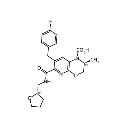 C[C@H]1COc2nc(C(=O)NC[C@@H]3CCCO3)c(Cc3ccc(F)cc3)cc2N1C(=O)O